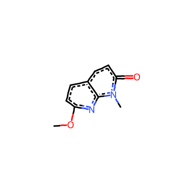 COc1ccc2ccc(=O)n(C)c2n1